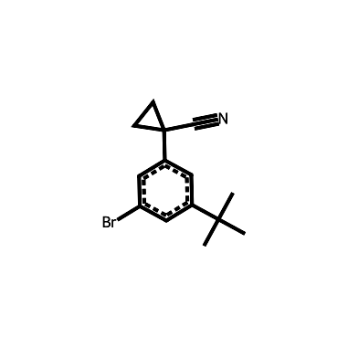 CC(C)(C)c1cc(Br)cc(C2(C#N)CC2)c1